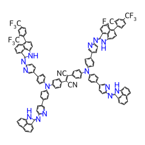 N#C/C(=C(/C#N)c1ccc(N(c2ccc(-c3ccc(/N=C4\Nc5cccc6cccc4c56)nc3)cc2)c2ccc(-c3ccc(/N=C4\Nc5ccc(-c6ccc(C(F)(F)F)cc6C(F)(F)F)c6cccc4c56)nc3)cc2)cc1)c1ccc(N(c2ccc(-c3ccc(/N=C4\Nc5cccc6cccc4c56)nc3)cc2)c2ccc(-c3ccc(/N=C4\Nc5ccc(-c6ccc(C(F)(F)F)cc6C(F)(F)F)c6cccc4c56)nc3)cc2)cc1